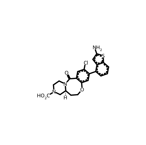 Nc1cc2c(-c3cc4c(cc3Cl)C(=O)N3CCN(C(=O)O)C[C@@H]3CCO4)cccc2s1